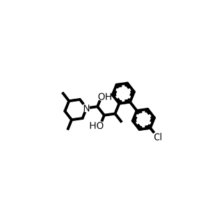 CC1CC(C)CN(C(O)C(O)C(C)c2ccccc2-c2ccc(Cl)cc2)C1